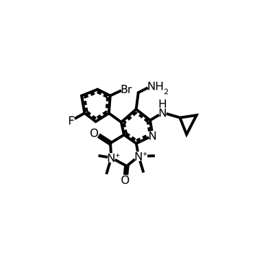 C[N+]1(C)C(=O)c2c(nc(NC3CC3)c(CN)c2-c2cc(F)ccc2Br)[N+](C)(C)C1=O